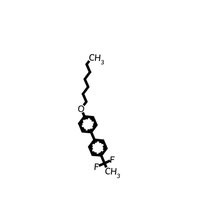 CCCCCCCOc1ccc(-c2ccc(C(C)(F)F)cc2)cc1